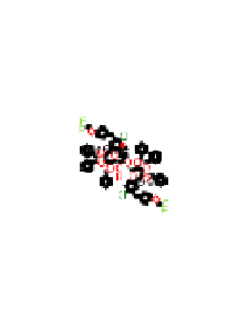 CO[C@@]1(c2ccc(Cl)c(Cc3ccc(OCC(F)F)cc3)c2)O[C@H](C(O)C(OC[C@H]2O[C@@](OC)(c3ccc(Cl)c(Cc4ccc(OCC(F)F)cc4)c3)[C@H](OCc3ccccc3)[C@@H](OCc3ccccc3)[C@@H]2OCc2ccccc2)C(C)(C)[SiH](C)C)[C@@H](OCc2ccccc2)[C@H](OCc2ccccc2)[C@H]1OCc1ccccc1